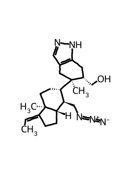 CC=C1CC[C@H]2[C@H](CN=[N+]=[N-])[C@@H]([C@@]3(C)Cc4cn[nH]c4C[C@@H]3CO)CC[C@]12C